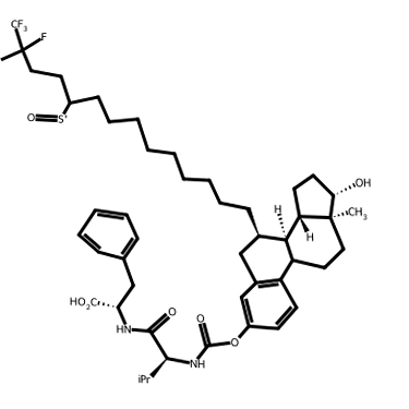 CC(C)[C@H](NC(=O)Oc1ccc2c(c1)C[C@@H](CCCCCCCCCC(CCC(F)(F)C(F)(F)F)[S+]=O)[C@@H]1C2CC[C@]2(C)[C@@H](O)CC[C@@H]12)C(=O)N[C@@H](Cc1ccccc1)C(=O)O